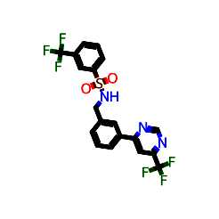 O=S(=O)(NCc1cccc(-c2cc(C(F)(F)F)ncn2)c1)c1cccc(C(F)(F)F)c1